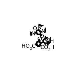 CC1(C)CC(c2c(C(=O)O)cc(C(=O)O)cc2C(=O)O)CC(C)(C)N1.O=C1C=C(N2CC2)C(=O)C(N2CC2)=C1N1CC1